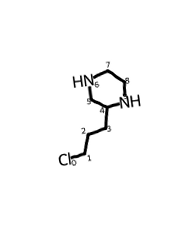 ClCCCC1CNCCN1